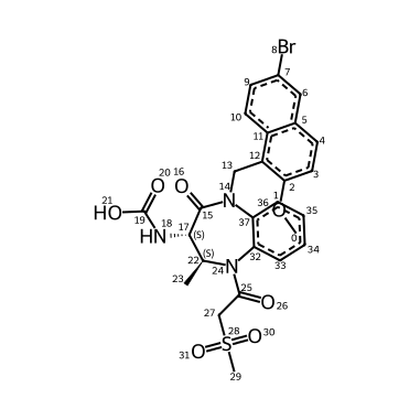 COc1ccc2cc(Br)ccc2c1CN1C(=O)[C@@H](NC(=O)O)[C@H](C)N(C(=O)CS(C)(=O)=O)c2ccccc21